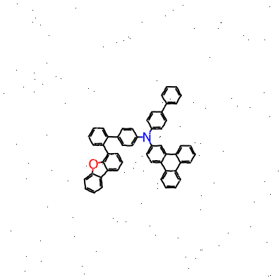 c1ccc(-c2ccc(N(c3ccc(-c4ccccc4-c4cccc5c4oc4ccccc45)cc3)c3ccc4c5ccccc5c5ccccc5c4c3)cc2)cc1